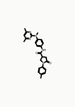 Cc1ccc(N2CC(C(=O)Nc3ccc(N(C)c4nc(C)cc(C)n4)cc3)CC2=O)cc1